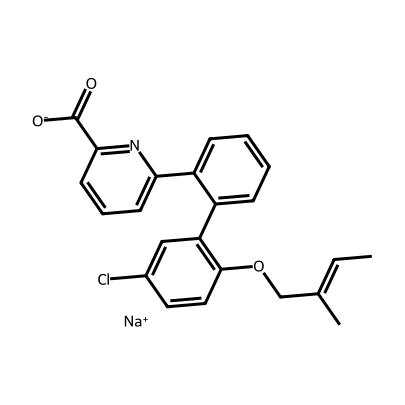 CC=C(C)COc1ccc(Cl)cc1-c1ccccc1-c1cccc(C(=O)[O-])n1.[Na+]